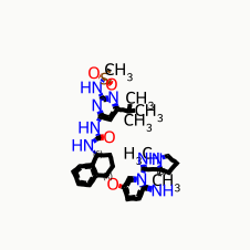 CN1CCC[C@@]1(C)C(=N)n1cc(O[C@@H]2CC[C@H](NC(=O)Nc3cc(C(C)(C)C)nc(NS(C)(=O)=O)n3)c3ccccc32)ccc1=N